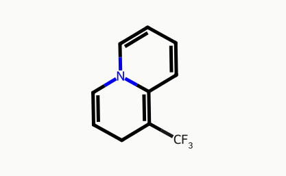 FC(F)(F)C1=C2C=CC=CN2C=CC1